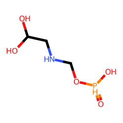 O=[PH](O)OCNCC(O)O